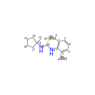 CCC(C)c1cccc(C(C)CC)c1NC(=S)NC1(C)CCCC1